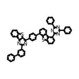 c1ccc(-c2cccc(-c3nc(-c4ccc(-c5cccc6c5sc5cccc(-c7nc(-c8ccccc8)nc(-c8ccccc8)n7)c56)cc4)c4sc5ccccc5c4n3)c2)cc1